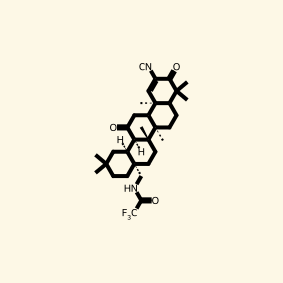 [C-]#[N+]C1=C[C@@]2(C)C(CC[C@]3(C)C2CC(=O)[C@@H]2[C@@H]4CC(C)(C)CC[C@]4(CNC(=O)C(F)(F)F)CC[C@]23C)C(C)(C)C1=O